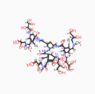 CN(CC(O)CO)C(=O)c1c(I)c(NC(=O)C(O)C(O)CO)c(I)c(C(=O)NCC2CC(CNC(=O)c3c(I)c(NC(=O)C(O)C(O)CO)c(I)c(C(=O)N(C)CC(O)CO)c3I)CC(CNC(=O)c3c(I)c(NC(=O)C(O)C(O)CO)c(I)c(C(=O)N(C)CC(O)CO)c3I)C2)c1I